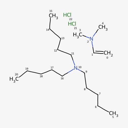 C=CN(C)C.CCCCCN(CCCCC)CCCCC.Cl.Cl